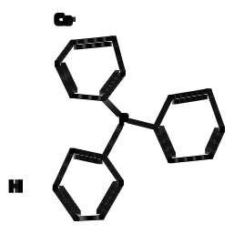 I.[Co].c1ccc(P(c2ccccc2)c2ccccc2)cc1